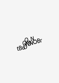 C[C@H]1CN(c2ccc(Br)cc2[N+](=O)[O-])CCN1C(=O)OC(C)(C)C